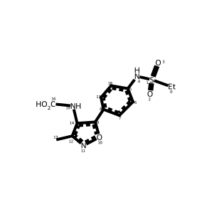 CCS(=O)(=O)Nc1ccc(-c2onc(C)c2NC(=O)O)cc1